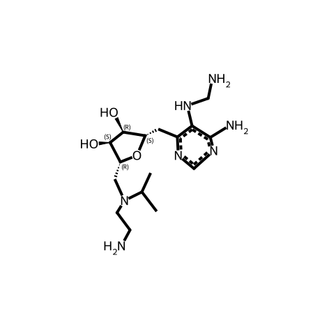 CC(C)N(CCN)C[C@H]1O[C@@H](Cc2ncnc(N)c2NCN)[C@H](O)[C@@H]1O